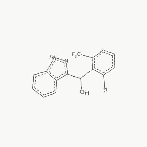 OC(c1c(Cl)cccc1C(F)(F)F)c1n[nH]c2ccccc12